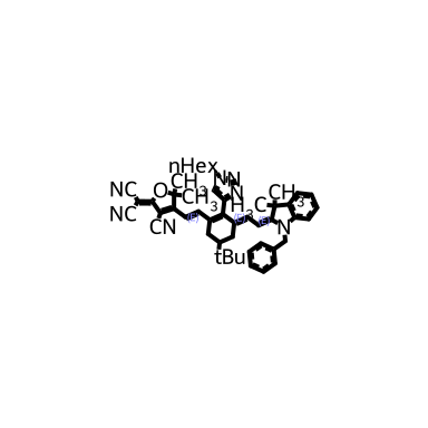 CCCCCCn1cc(C2=C(/C=C/C3=C(C#N)C(=C(C#N)C#N)OC3(C)C)CC(C(C)(C)C)C/C2=C\C=C2\N(Cc3ccccc3)c3ccccc3C2(C)C)nn1